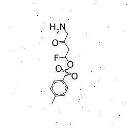 Cc1ccc(S(=O)(=O)OC(F)CC(=O)CN)cc1